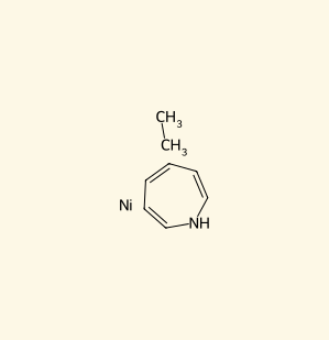 C1=CC=CNC=C1.CC.[Ni]